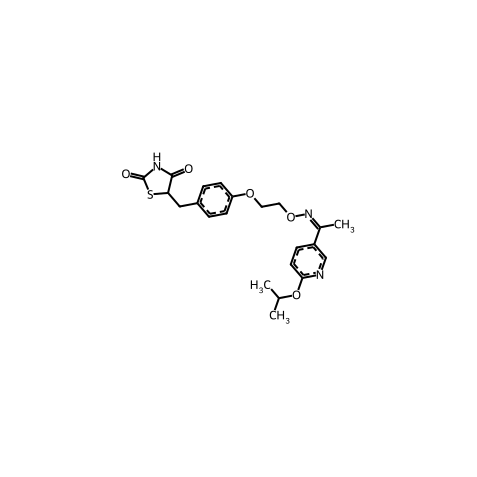 CC(=NOCCOc1ccc(CC2SC(=O)NC2=O)cc1)c1ccc(OC(C)C)nc1